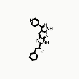 O=C(Cc1ccccc1)c1nc2cc3c(-c4ccncc4)n[nH]c3nc2[nH]1